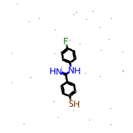 N=C(Nc1ccc(F)cc1)c1ccc(S)cc1